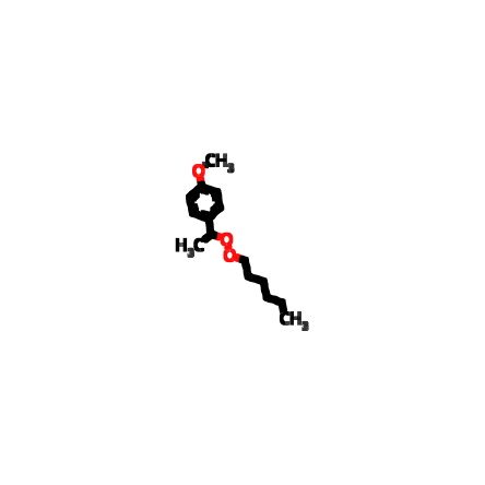 CCCCCCOOC(C)c1ccc(OC)cc1